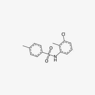 Cc1ccc(S(=O)(=O)Nc2cccc(Cl)c2C)cc1